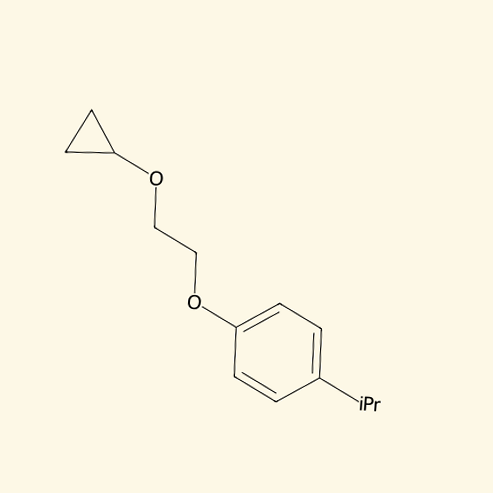 CC(C)c1ccc(OCCOC2CC2)cc1